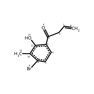 C=CCC(=O)c1ccc(Br)c(C)c1O